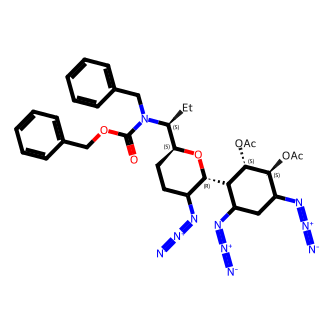 CC[C@@H]([C@@H]1CCC(N=[N+]=[N-])[C@@H](C2C(N=[N+]=[N-])CC(N=[N+]=[N-])[C@H](OC(C)=O)[C@H]2OC(C)=O)O1)N(Cc1ccccc1)C(=O)OCc1ccccc1